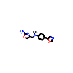 CN(CC1COC(N)=N1)c1ccc(-c2cnco2)cc1